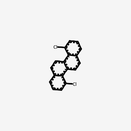 Clc1cccc2ccc3c(ccc4cccc(Cl)c43)c12